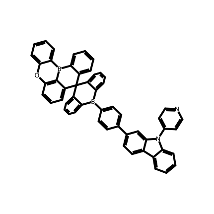 c1ccc2c(c1)Oc1cccc3c1B2c1ccccc1C31c2ccccc2B(c2ccc(-c3ccc4c5ccccc5n(-c5ccncc5)c4c3)cc2)c2ccccc21